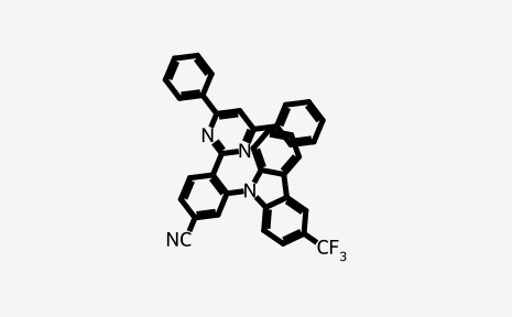 N#Cc1ccc(-c2nc(-c3ccccc3)cc(-c3ccccc3)n2)c(-n2c3ccccc3c3cc(C(F)(F)F)ccc32)c1